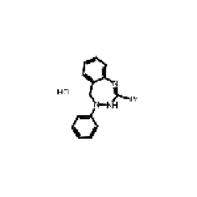 CC(C)C1=Nc2ccccc2CN(c2ccccc2)N1.Cl